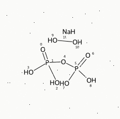 O=P(O)(O)OP(=O)(O)O.OO.[NaH]